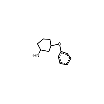 [NH]C1CCCC(Oc2ccccc2)C1